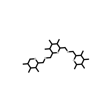 CC1COC(COCC2OC(COCC3OC(C)C(C)C(C)C3C)C(C)C(C)C2C)C(C)C1C